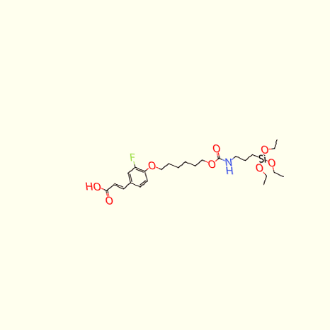 CCO[Si](CCCNC(=O)OCCCCCCOc1ccc(C=CC(=O)O)cc1F)(OCC)OCC